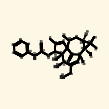 CC1=CC23C(=O)[C@@H](C=C(CO)[C@@H](O)[C@]2(O)[C@H]1OC(=O)Nc1ccccc1)[C@H]1[C@@H](CC3C)C1(C)C